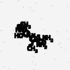 CCCc1cc(N2CCC(NS(C)(=O)=O)C(O)C2)nc2sc(C(N)=O)c(N)c12